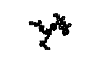 CC(C)(C)OC(=O)NCCCn1cc(-c2ccc(OCC(ON3C(=O)c4ccccc4C3=O)C(=O)OC(C)(C)C)cc2)c[n+]1CC1CN(C(=O)OC(C)(C)C)C1